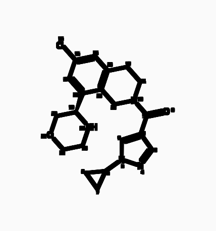 O=C(c1cnn(C2CC2)c1)N1CCc2cc(Cl)cc([C@@H]3COCCN3)c2C1